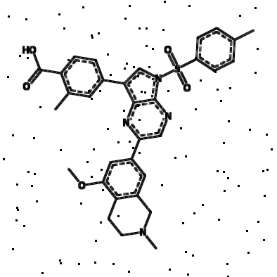 COc1cc(-c2cnc3c(n2)c(-c2ccc(C(=O)O)c(C)c2)cn3S(=O)(=O)c2ccc(C)cc2)cc2c1CCN(C)C2